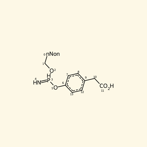 CCCCCCCCCCO[PH](=N)Oc1ccc(CC(=O)O)cc1